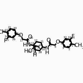 Cc1ccc(OCC(=O)NC23CCC(NC(=O)COc4ccc(Cl)c(F)c4)(CC2)[C@@H](O)C3)cc1F